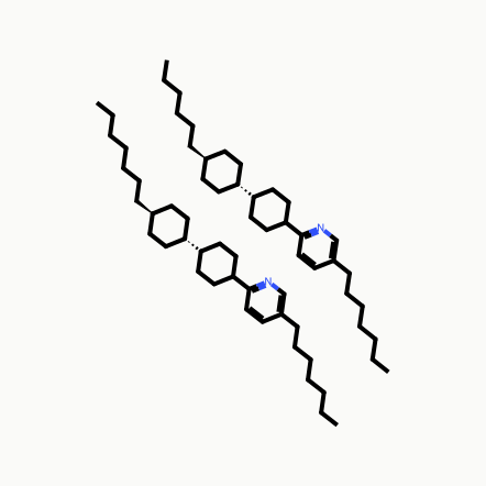 CCCCCCCc1ccc(C2CCC([C@H]3CC[C@H](CCCCCC)CC3)CC2)nc1.CCCCCCCc1ccc(C2CCC([C@H]3CC[C@H](CCCCCCC)CC3)CC2)nc1